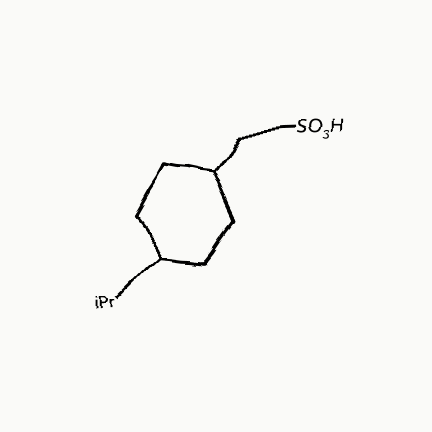 CC(C)C1CCC(CS(=O)(=O)O)CC1